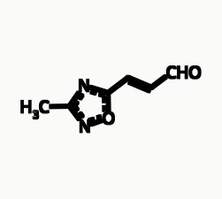 Cc1noc(C=CC=O)n1